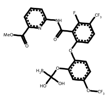 BC(O)(O)Oc1cc(OC(F)(F)F)ccc1Oc1ccc(C(F)(F)F)c(F)c1C(=O)Nc1cccc(C(=O)OC)n1